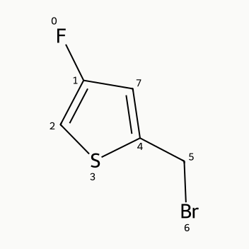 Fc1csc(CBr)c1